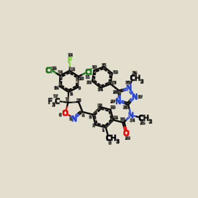 Cc1cc(C2=NOC(c3cc(Cl)c(F)c(Cl)c3)(C(F)(F)F)C2)ccc1C(=O)N(C)c1nc(-c2ccccc2)n(C)n1